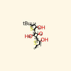 C=c1cc(O)/c(=C2\C(=O)C(c3sc(C(C)(C)C)cc3O)=C2O)s1